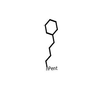 CCCCCCCCCC1C[CH]CCC1